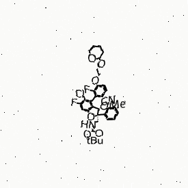 CO[C@H]1c2c(cc(F)c(Cl)c2-c2c(C#N)ccc(OCCOC3CCCCO3)c2F)O[C@]1(CNC(=O)OC(C)(C)C)c1ccccc1